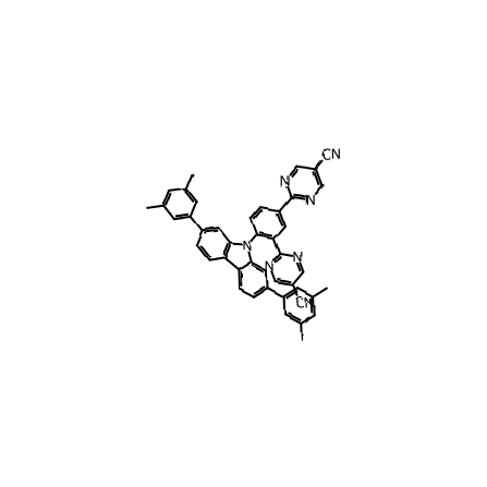 Cc1cc(C)cc(-c2ccc3c4ccc(-c5cc(C)cc(C)c5)cc4n(-c4ccc(-c5ncc(C#N)cn5)cc4-c4ncc(C#N)cn4)c3c2)c1